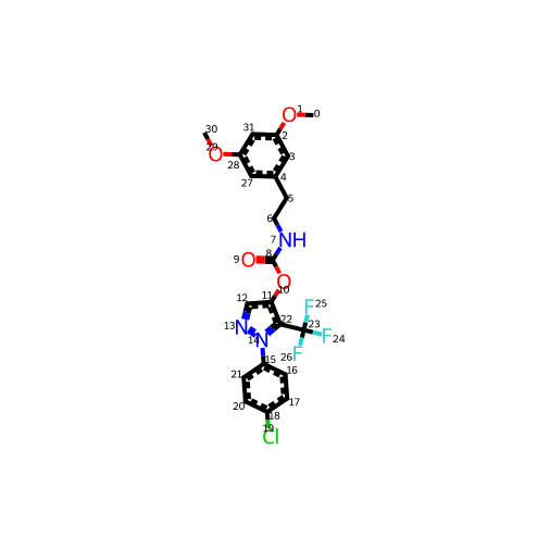 COc1cc(CCNC(=O)Oc2cnn(-c3ccc(Cl)cc3)c2C(F)(F)F)cc(OC)c1